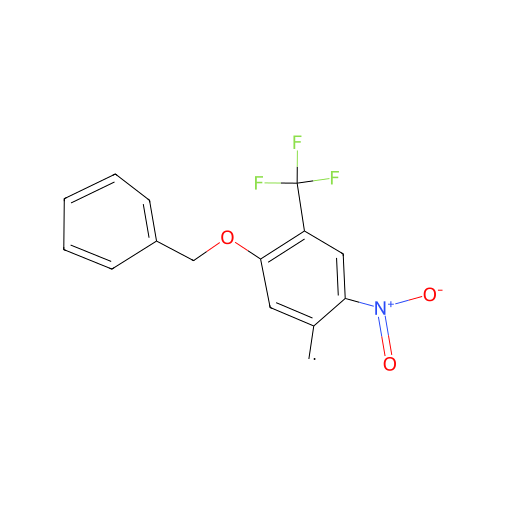 [CH2]c1cc(OCc2ccccc2)c(C(F)(F)F)cc1[N+](=O)[O-]